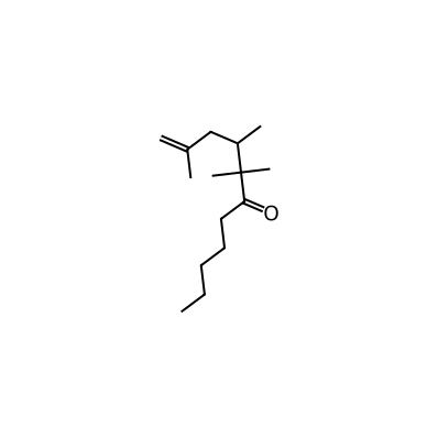 C=C(C)CC(C)C(C)(C)C(=O)CCCCC